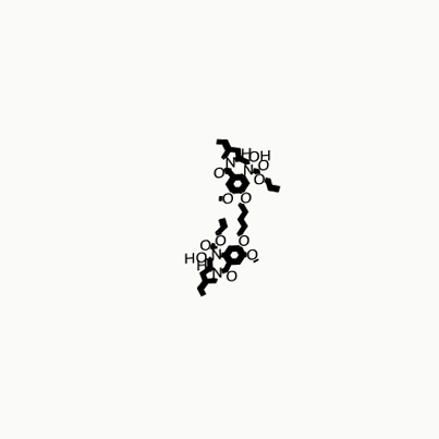 C=CCOC(=O)N1c2cc(OCCCCCOc3cc4c(cc3OC)C(=O)N3C/C(=C\C)C[C@H]3[C@H](O)N4C(=O)OCC=C)c(OC)cc2C(=O)N2C/C(=C\C)C[C@H]2[C@@H]1O